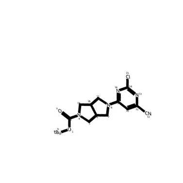 CC(C)(C)OC(=O)N1CC2CN(c3cc(C#N)nc(Cl)n3)CC2C1